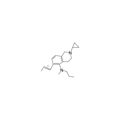 C/C=C/c1ccc2c(c1N(C)CCC)CCN(C1CC1)C2